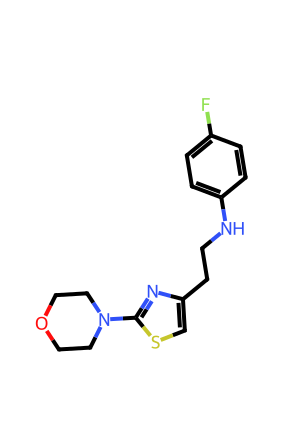 Fc1ccc(NCCc2csc(N3CCOCC3)n2)cc1